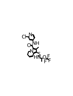 Cc1c(SNC(C)OC(F)(F)F)c2n(c1C(=O)Nc1ccnc(Cl)c1)CCC=C2